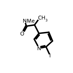 CNC(=O)C(C)c1ccc(I)nc1